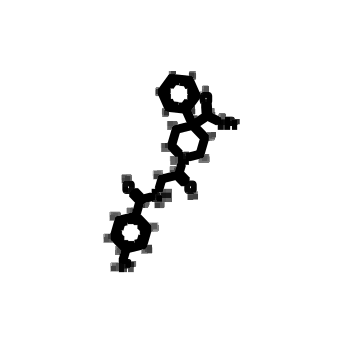 CCCC(=O)C1(c2ccccc2)CCN(C(=O)CNC(=O)c2ccc(C(C)C)cc2)CC1